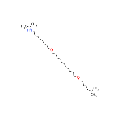 CC(C)CCCCCOCCCCCCCCCCCOCCCCCCCCNC(C)C